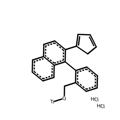 Cl.Cl.[Ti][O]Cc1ccccc1-c1c(C2=CC=CC2)ccc2ccccc12